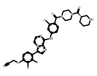 N#CCOc1ccc(-c2cnc3c(Nc4ccc(C(=O)N5CCN(C(=O)[C@@H]6CCCNC6)CC5)c(Cl)c4)nccn23)c(F)c1F